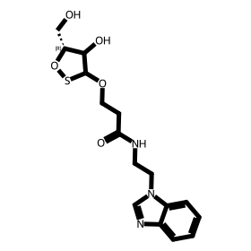 O=C(CCOC1SO[C@H](CO)C1O)NCCn1cnc2ccccc21